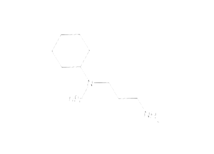 CCCN(CCCN)C1CCCCC1